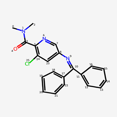 CN(C)C(=O)c1ncc(N=C(c2ccccc2)c2ccccc2)cc1Cl